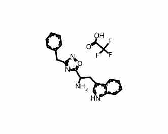 NC(Cc1c[nH]c2ccccc12)c1nc(Cc2ccccc2)no1.O=C(O)C(F)(F)F